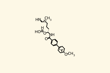 COC12CCC(c3ccc(C(=O)N[C@@H](CCCN(C)C=N)OBO)cc3)(CC1)CC2